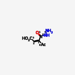 CC(=O)/C(=C/C(=O)O)C(=O)NN